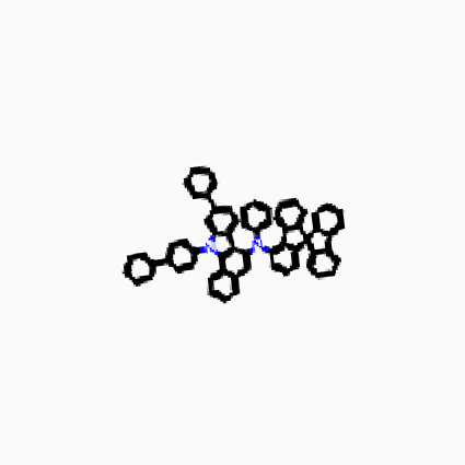 c1ccc(-c2ccc(-n3c4cc(-c5ccccc5)ccc4c4c(N(c5ccccc5)c5cccc6c5-c5ccccc5C65c6ccccc6-c6ccccc65)cc5ccccc5c43)cc2)cc1